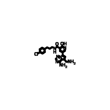 NCc1cc(-c2cnc(O)c(C(=O)NCCCc3ccc(Cl)cc3)c2)n2ncnc(N)c12